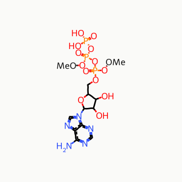 COOP(=O)(OCC1OC(n2cnc3c(N)ncnc32)C(O)C1O)OP(=O)(OOC)OP(=O)(O)O